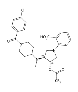 CN(C1CCN(C(=O)c2ccc(Cl)cc2)CC1)[C@H]1CN(c2ccccc2C(=O)O)C[C@@H]1OC(=O)C(F)(F)F